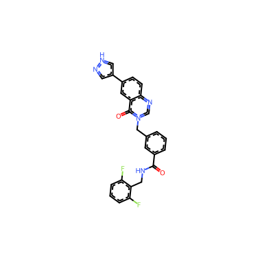 O=C(NCc1c(F)cccc1F)c1cccc(Cn2cnc3ccc(-c4cn[nH]c4)cc3c2=O)c1